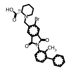 Cc1c(-c2ccccc2)cccc1N1C(=O)c2cc(Br)c(CN3CCCC[C@H]3C(=O)O)cc2C1=O